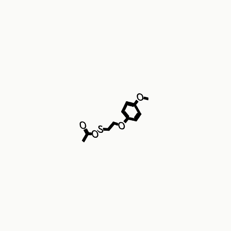 COc1ccc(OCCSOC(C)=O)cc1